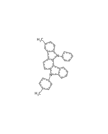 Cc1ccc(-n2c3ccccc3c3c2ccc2c4cc(C)ccc4n(-c4ccccc4)c23)cc1